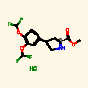 COC(=O)[C@H]1CC(c2ccc(OC(F)F)c(OC(F)F)c2)CN1.Cl